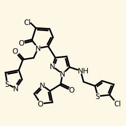 O=C(Cn1c(-c2cc(NCc3ccc(Cl)s3)n(C(=O)c3cocn3)n2)ccc(Cl)c1=O)c1cnsc1